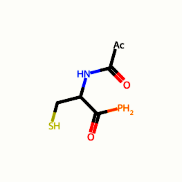 CC(=O)C(=O)NC(CS)C(=O)P